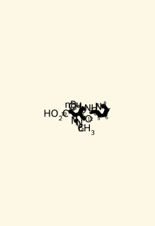 CCCCC(NCc1ccccn1)=C1C(=O)N(C)N=C1C(C)C(=O)O